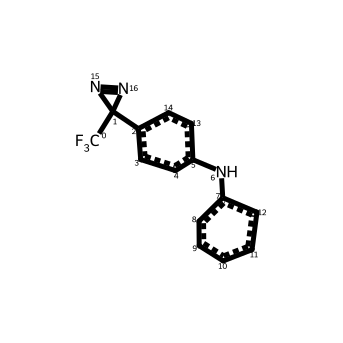 FC(F)(F)C1(c2ccc(Nc3ccccc3)cc2)N=N1